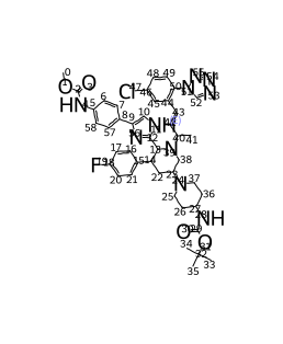 COC(=O)Nc1ccc(-c2c[nH]c(C3C(c4ccc(F)cc4)CC(N4CCC(NC(=O)OC(C)(C)C)CC4)CN3C(C)/C=C/c3cc(Cl)ccc3-n3cnnn3)n2)cc1